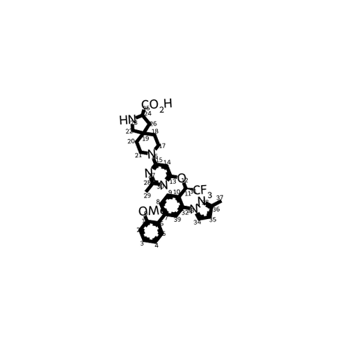 COc1ccccc1-c1ccc([C@@H](Oc2cc(N3CCC4(CC3)CNC(C(=O)O)C4)nc(C)n2)C(F)(F)F)c(-n2ccc(C)n2)c1